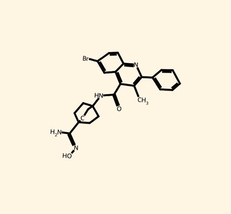 Cc1c(-c2ccccc2)nc2ccc(Br)cc2c1C(=O)NC12CCC(/C(N)=N/O)(CC1)CC2